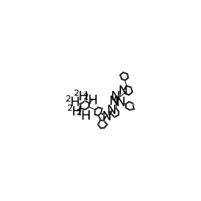 [2H]c1c([2H])c([2H])c(-c2ccc3c(c2)c2ccccc2n3-c2cccc(-c3nnc(-c4cccc(-c5ccccc5)n4)n3-c3ccccc3)n2)c([2H])c1[2H]